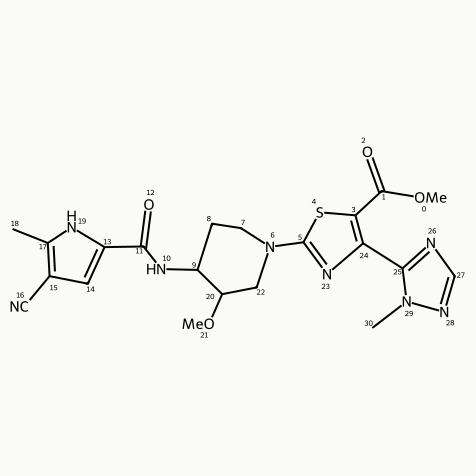 COC(=O)c1sc(N2CCC(NC(=O)c3cc(C#N)c(C)[nH]3)C(OC)C2)nc1-c1ncnn1C